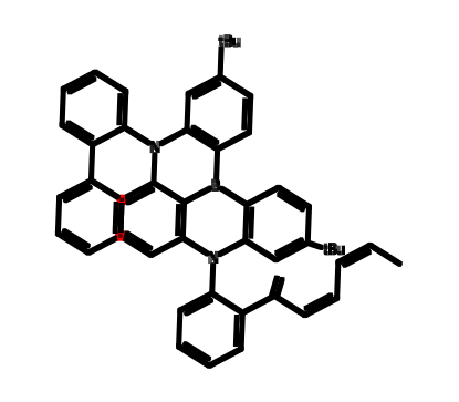 C=C(/C=C\C=C/C)c1ccccc1N1c2cc(C(C)(C)C)ccc2B2c3ccc(C(C)(C)C)cc3N(c3ccccc3-c3ccccc3)c3cccc1c32